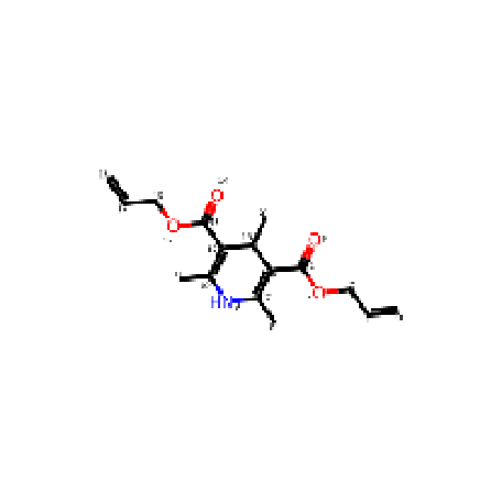 C=CCOC(=O)C1=C(C)NC(C)=C(C(=O)OCC=C)C1C